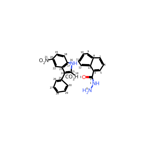 NNC(=O)c1cccc2ccccc12.O=C(O)c1[nH]c2ccc([N+](=O)[O-])cc2c1-c1ccccc1